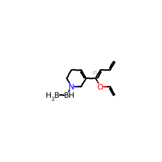 BBN1CCC=C(/C(=C/C=C)OC=C)C1